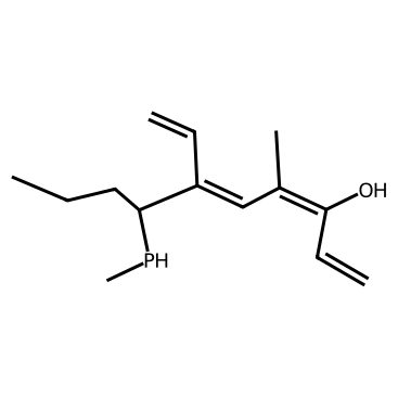 C=C/C(=C\C(C)=C(\O)C=C)C(CCC)PC